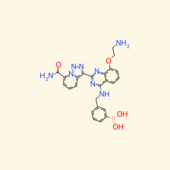 NCCOc1cccc2c(NCc3cccc(B(O)O)c3)nc(-c3nnn4c(C(N)=O)cccc34)nc12